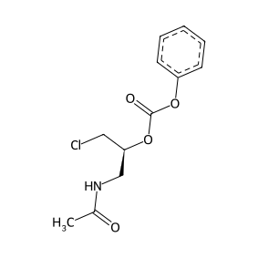 CC(=O)NC[C@@H](CCl)OC(=O)Oc1ccccc1